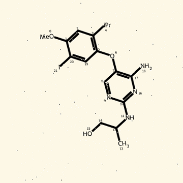 COc1cc(C(C)C)c(Oc2cnc(NC(C)CO)nc2N)cc1I